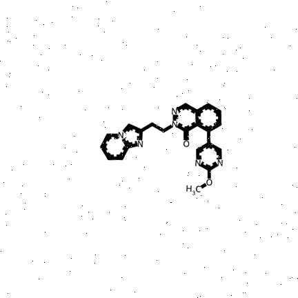 COc1ncc(-c2cccc3cnn(CCc4cn5ccccc5n4)c(=O)c23)cn1